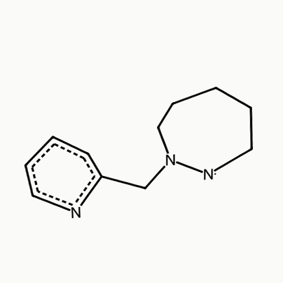 c1ccc(CN2CCCCC[N]2)nc1